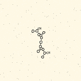 N#Cc1cc(-c2ccccc2)cc(-c2ccc3c4cc(-c5ccc(-c6ccc7c(c6)c6ccc(-c8cc(C#N)cc(-c9ccccc9)c8)cc6n7-c6ccccc6)cc5)ccc4n(-c4ccccc4)c3c2)c1